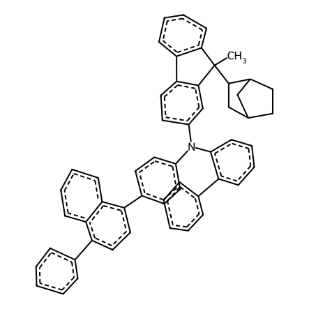 CC1(C2CC3CCC2C3)c2ccccc2-c2ccc(N(c3ccc(-c4ccc(-c5ccccc5)c5ccccc45)cc3)c3ccccc3-c3ccccc3)cc21